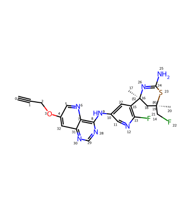 C#CCOc1cnc2c(Nc3cnc(F)c([C@]4(C)C[C@](C)(CF)SC(N)=N4)c3)ncnc2c1